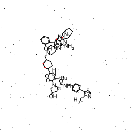 Cc1ncsc1-c1ccc(CNC(=O)[C@@H]2C[C@@H](O)CN2C(=O)[C@@H](NC(=O)C23CCC(CN4CCC(c5cnc(N6C7CCC6CN(c6cc(-c8ccccc8O)nnc6N)C7)nc5)CC4)(CC2)CC3)C(C)(C)C)cc1